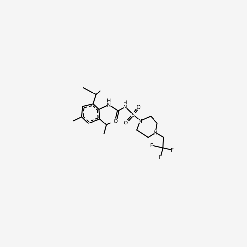 Cc1cc(C(C)C)c(NC(=O)NS(=O)(=O)N2CCN(CC(F)(F)F)CC2)c(C(C)C)c1